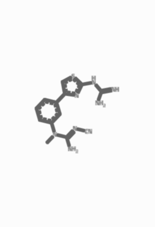 CN(C(N)=NC#N)c1cccc(-c2csc(NC(=N)N)n2)c1